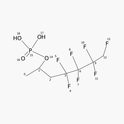 CC(CC(F)(F)C(F)(F)C(F)(F)CF)OP(=O)(O)O